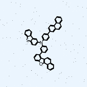 c1cc(-c2cccc3oc4c5ccccc5ccc4c23)cc(N(c2ccc(-c3ccc4c(ccc5ccccc54)c3)cc2)c2ccc3sc4ccccc4c3c2)c1